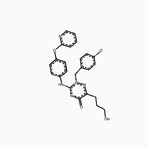 O=c1nc(Nc2ccc(Oc3ccccn3)cc2)n(Cc2ccc(Cl)cc2)nc1CCCO